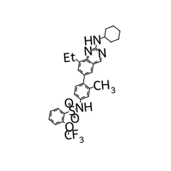 CCc1cc(-c2ccc(NS(=O)(=O)c3ccccc3OC(F)(F)F)cc2C)cc2cnc(NC3CCCCC3)nc12